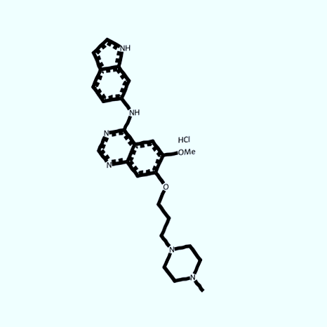 COc1cc2c(Nc3ccc4cc[nH]c4c3)ncnc2cc1OCCCN1CCN(C)CC1.Cl